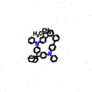 CC1(C)c2ccccc2-c2ccc(N(c3ccccc3)c3ccc(C4(c5ccc(N(c6ccccc6)c6ccc(-c7ccccc7)cc6)cc5)C5CC6CC(C5)CC4C6)cc3)cc21